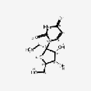 NC[C@@]1(n2ccc(=O)[nH]c2=O)O[C@H](CO)[C@@H](O)[C@H]1O